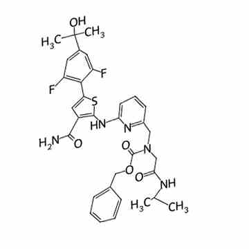 CC(C)NC(=O)CN(Cc1cccc(Nc2sc(-c3c(F)cc(C(C)(C)O)cc3F)cc2C(N)=O)n1)C(=O)OCc1ccccc1